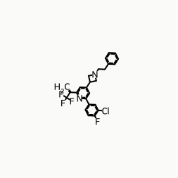 C=C(c1cc(C2CN(CCc3ccccc3)C2)cc(-c2ccc(F)c(Cl)c2)n1)C(F)(F)F